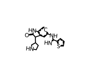 N=C(Nc1ccc2c(c1)C(C1CCNC1)C(=O)N2)c1cccs1